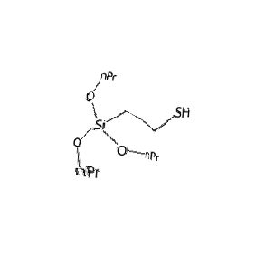 CCCO[Si](CCS)(OCCC)OCCC